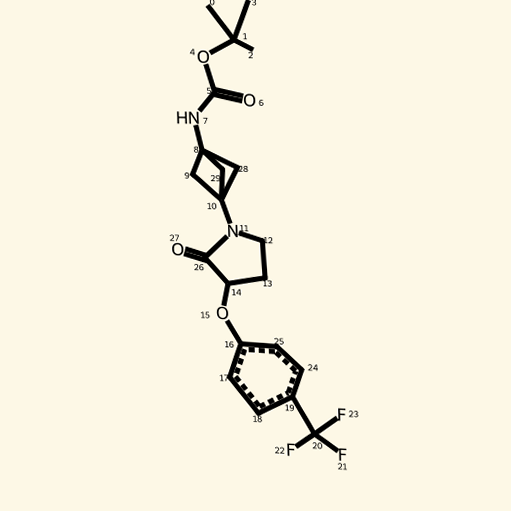 CC(C)(C)OC(=O)NC12CC(N3CCC(Oc4ccc(C(F)(F)F)cc4)C3=O)(C1)C2